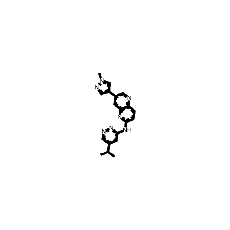 CC(C)c1cnnc(Nc2ccc3ncc(-c4[c]nn(C)c4)cc3n2)c1